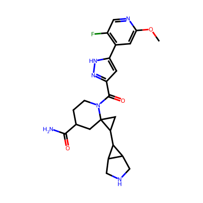 COc1cc(-c2cc(C(=O)N3CCC(C(N)=O)CC34CC4C3C4CNCC43)n[nH]2)c(F)cn1